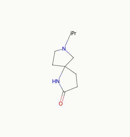 CC(C)N1CCC2(CCC(=O)N2)C1